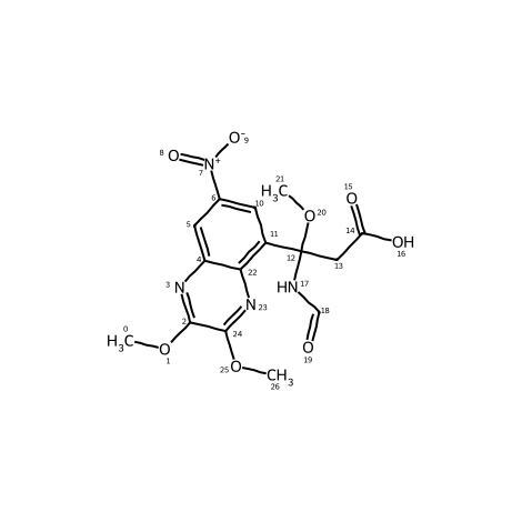 COc1nc2cc([N+](=O)[O-])cc(C(CC(=O)O)(NC=O)OC)c2nc1OC